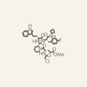 COC(=O)CC[C@H](NC(=O)CCl)C(=O)N1CCCC[C@H]1C(=O)N[C@@H](CCc1c[nH]c2ccccc12)C(=O)N[C@@H](Cc1ccc(F)cc1)C(=O)NC1CCC1